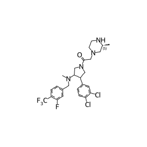 C[C@H]1CN(CC(=O)N2CC(c3ccc(Cl)c(Cl)c3)C(N(C)Cc3ccc(C(F)(F)F)c(F)c3)C2)CCN1